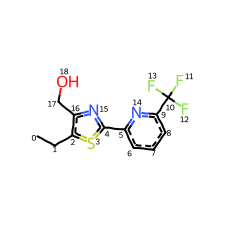 CCc1sc(-c2cccc(C(F)(F)F)n2)nc1CO